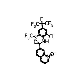 O=C(Nc1c(Cl)cc(C(F)(C(F)(F)F)C(F)(F)F)cc1SC(F)(F)F)c1ccc2ccc[n+]([O-])c2c1